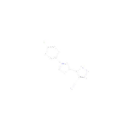 N#Cc1[nH]nnc1-c1ccn(-c2ccc(Cl)cc2)c1